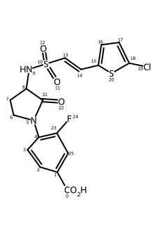 O=C(O)c1ccc(N2CCC(NS(=O)(=O)C=Cc3ccc(Cl)s3)C2=O)c(F)c1